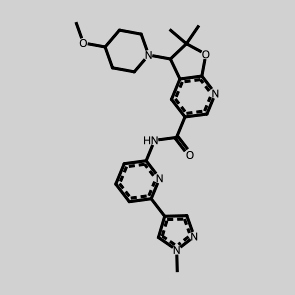 COC1CCN(C2c3cc(C(=O)Nc4cccc(-c5cnn(C)c5)n4)cnc3OC2(C)C)CC1